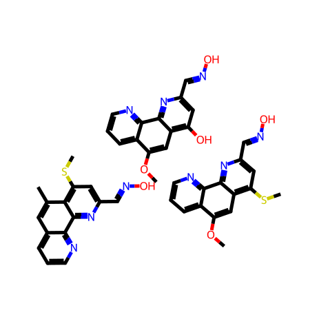 COc1cc2c(O)cc(/C=N/O)nc2c2ncccc12.COc1cc2c(SC)cc(/C=N/O)nc2c2ncccc12.CSc1cc(/C=N/O)nc2c1c(C)cc1cccnc12